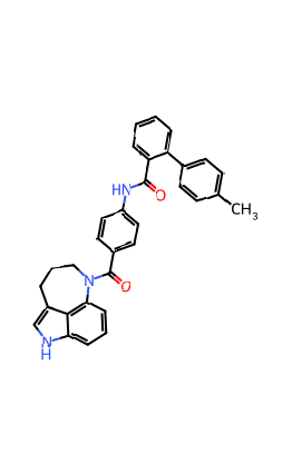 Cc1ccc(-c2ccccc2C(=O)Nc2ccc(C(=O)N3CCCc4c[nH]c5cccc3c45)cc2)cc1